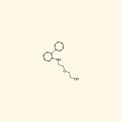 OCCOCCNc1ccccc1-c1ccccc1